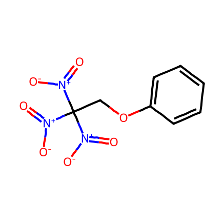 O=[N+]([O-])C(COc1ccccc1)([N+](=O)[O-])[N+](=O)[O-]